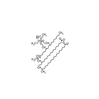 CCCCCCCCCCCCCCCCCC(=O)[O-].CCCCCCCCCCCCCCCCCC(=O)[O-].CCCCCCCCCCCCCCCC[N+](C)(C)C.CCO[Si](OCC)(OCC)OCC.[Cl-].[Co+2]